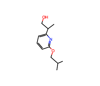 CC(C)COc1cccc(C(C)CO)n1